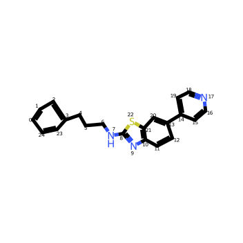 c1ccc(CCCNc2nc3ccc(-c4ccncc4)cc3s2)cc1